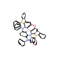 c1ccc(N2c3ccccc3N3c4c2ccc2c4B4c5c(cc6c7ccccc7p(-c7ccccc7)c6c5N2c2ccccc2)Oc2cc5c6ccccc6p(-c6ccccc6)c5c3c24)cc1